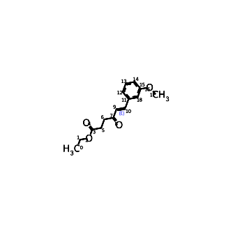 CCOC(=O)CCC(=O)/C=C/c1cccc(OC)c1